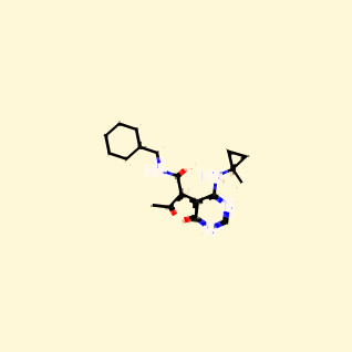 Cc1oc2ncnc(NC3(C)CC3)c2c1C(=O)NCC1CCCCC1